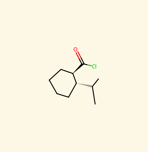 CC(C)[C@@H]1CCCC[C@H]1C(=O)Cl